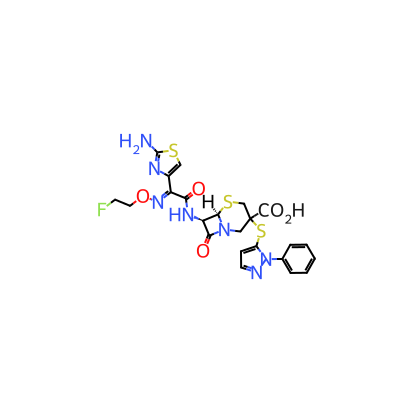 Nc1nc(C(=NOCCF)C(=O)N[C@@H]2C(=O)N3CC(Sc4ccnn4-c4ccccc4)(C(=O)O)CS[C@H]23)cs1